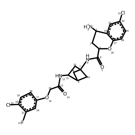 NC1CC(C(=O)NC23CC(C2)C(NC(=O)COc2ccc(Cl)c(F)c2)C3)Oc2ccc(Cl)cc21